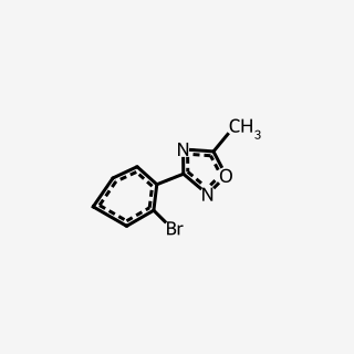 Cc1nc(-c2ccccc2Br)no1